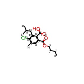 CCCCOC(=O)c1cc(C)c(Cl)c(CC(C)C)c1C(=O)O